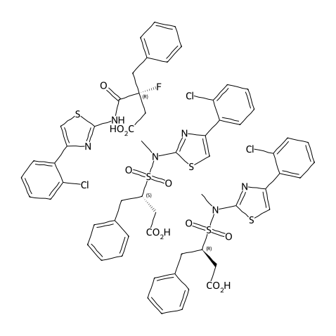 CN(c1nc(-c2ccccc2Cl)cs1)S(=O)(=O)[C@@H](CC(=O)O)Cc1ccccc1.CN(c1nc(-c2ccccc2Cl)cs1)S(=O)(=O)[C@H](CC(=O)O)Cc1ccccc1.O=C(O)C[C@](F)(Cc1ccccc1)C(=O)Nc1nc(-c2ccccc2Cl)cs1